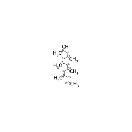 [CH]=C(C)CC(C)CC(C)CC(C)CC(C)CCC